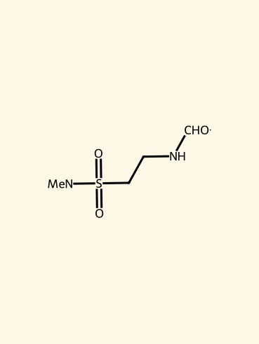 CNS(=O)(=O)CCN[C]=O